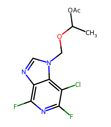 CC(=O)OC(C)OCn1cnc2c(F)nc(F)c(Cl)c21